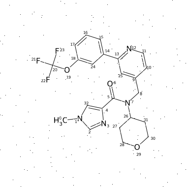 Cn1cnc(C(=O)N(Cc2ccnc(-c3cccc(OC(F)(F)F)c3)c2)C2CCOCC2)c1